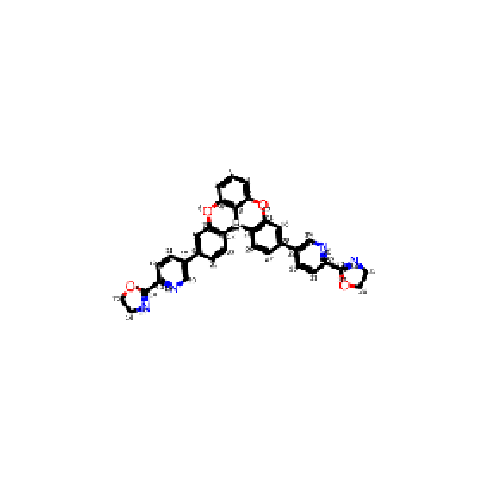 c1cc2c3c(c1)Oc1cc(-c4ccc(C5=NCCO5)nc4)ccc1B3c1ccc(-c3ccc(C4=NCCO4)nc3)cc1O2